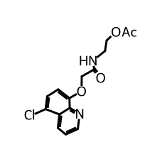 CC(=O)OCCNC(=O)COc1ccc(Cl)c2cccnc12